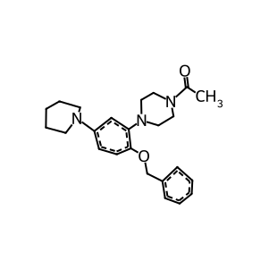 CC(=O)N1CCN(c2cc(N3CCCCC3)ccc2OCc2ccccc2)CC1